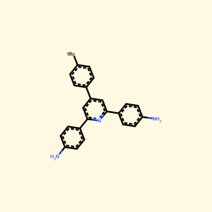 CC(C)(C)c1ccc(-c2cc(-c3ccc(N)cc3)nc(-c3ccc(N)cc3)c2)cc1